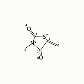 C=C1SC(=O)N(C)C1=O